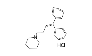 C(CCN1CCCCC1)=C(c1ccccc1)c1ccccc1.Cl